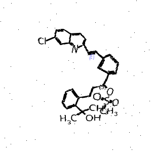 CC(C)(O)c1ccccc1CC[C@H](OS(C)(=O)=O)c1cccc(/C=C/c2ccc3ccc(Cl)cc3n2)c1